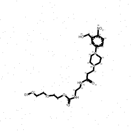 CCOCCOCCOC(=O)NCCNC(=O)CCN1CCN(c2ccc([N+](=O)[O-])c(CO)c2)CC1